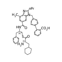 CCCc1nc2c(C)cc(C(=O)N[C@@H](CSC(=O)[C@@H](N)CC3CCCCC3)Cc3ccccc3)cc2n1Cc1ccc(-c2ccccc2C(=O)O)cc1